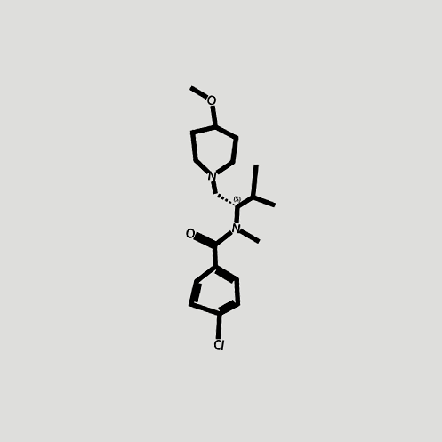 COC1CCN(C[C@H](C(C)C)N(C)C(=O)c2ccc(Cl)cc2)CC1